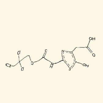 O=C(O)Cc1nc(NC(=O)OCC(Cl)(Cl)Cl)sc1O